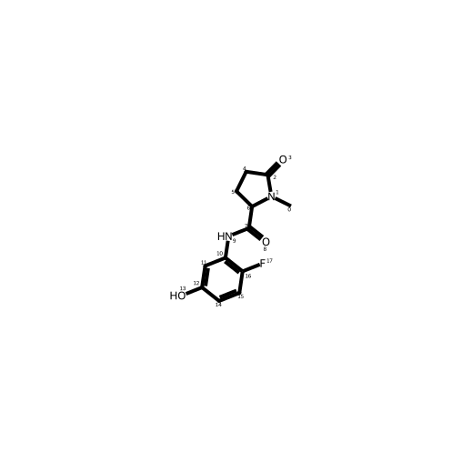 CN1C(=O)CCC1C(=O)Nc1cc(O)ccc1F